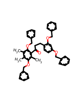 Cc1c(C)c(OCc2ccccc2)c(C(=O)CCc2ccc(OCc3ccccc3)cc2OCc2ccccc2)c(C)c1OCc1ccccc1